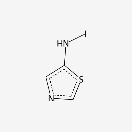 INc1cncs1